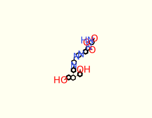 O=C1CC[C@H](N2Cc3cc(N4CCN(CC5CCN(c6ccc([C@H]7c8ccc(O)cc8CC[C@H]7c7cccc(O)c7)cc6)CC5)CC4)ccc3C2=O)C(=O)N1